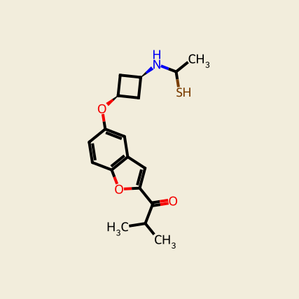 CC(S)N[C@H]1C[C@@H](Oc2ccc3oc(C(=O)C(C)C)cc3c2)C1